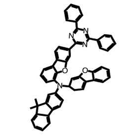 CC1(C)c2ccccc2-c2ccc(N(c3cccc4c3oc3cc(-c5nc(-c6ccccc6)nc(-c6ccccc6)n5)ccc34)C3C=c4oc5ccccc5c4=CC3)cc21